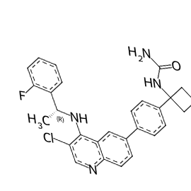 C[C@@H](Nc1c(Cl)cnc2ccc(-c3ccc(C4(NC(N)=O)CCC4)cc3)cc12)c1ccccc1F